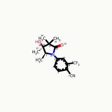 C[C@@H]1N(c2ccc(C#N)c(C(F)(F)F)c2)C(=O)C(C)(C)[C@]1(C)O